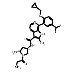 CCC(=O)N1C[C@H](NC(=O)c2c(C)[nH]c3c(-c4cc(C(F)F)ccc4OCC4CC4)ncnc23)C[C@@H]1C